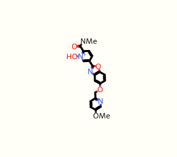 CNC(=O)c1ccc(-c2nc3cc(OCc4ccc(OC)cn4)ccc3o2)c[n+]1O